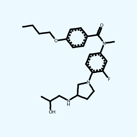 CCCCOc1ccc(C(=O)N(C)c2ccc(N3CCC(NCC(C)O)C3)c(F)c2)cc1